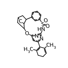 CC1=CCCC(C)=C1c1cc2nc(n1)NS(=O)(=O)c1cccc(c1)C1CC3CC(O2)C1C3